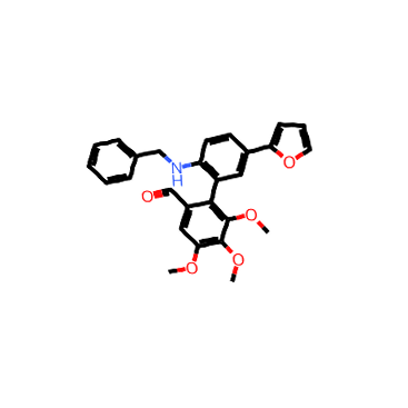 COc1cc(C=O)c(-c2cc(-c3ccco3)ccc2NCc2ccccc2)c(OC)c1OC